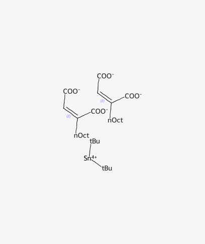 CCCCCCCC/C(=C/C(=O)[O-])C(=O)[O-].CCCCCCCC/C(=C/C(=O)[O-])C(=O)[O-].C[C](C)(C)[Sn+4][C](C)(C)C